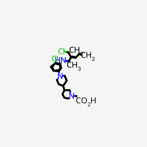 C=C/C=C(\C(=C)Cl)[C@@H](C)Nc1cc(N2CCC(C3CCCN(CC(=O)O)C3)CC2)ccc1Cl